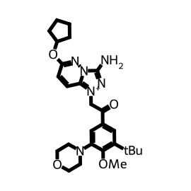 COc1c(N2CCOCC2)cc(C(=O)C[n+]2nc(N)n3nc(OC4CCCC4)ccc32)cc1C(C)(C)C